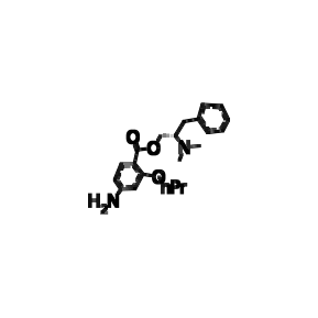 CCCOc1cc(N)ccc1C(=O)OC[C@H](Cc1ccccc1)N(C)C